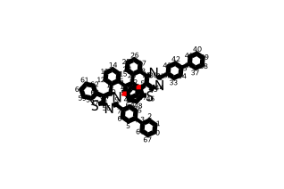 c1ccc(-c2ccc(-c3nc(-c4ccccc4-c4ccccc4-c4ccccc4-c4nc(-c5ccc(-c6ccccc6)cc5)nc5sc6ccccc6c45)c4c(n3)sc3ccccc34)cc2)cc1